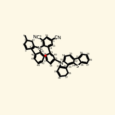 CC1C=Cc2c(n(-c3c(C#N)cc(C#N)cc3-c3cccc(-n4c5c(c6c7sc8ccccc8c7ccc64)CCC=C5)c3)c3ccccc23)C1